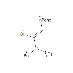 CCCCCC=C(Br)C(C)C(C)(C)C